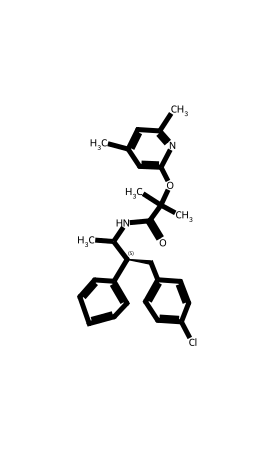 Cc1cc(C)nc(OC(C)(C)C(=O)NC(C)[C@@H](Cc2ccc(Cl)cc2)c2ccccc2)c1